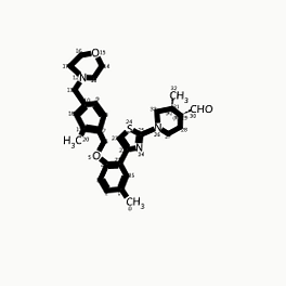 Cc1ccc(OCc2ccc(CN3CCOCC3)cc2C)c(-c2csc(N3CC[C@@H](C=O)[C@@H](C)C3)n2)c1